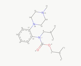 CC(C)COC(=O)N(CC(C)C)c1ccccc1N1CCN(C)CC1